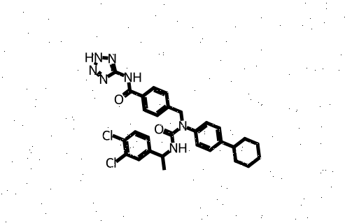 CC(NC(=O)N(Cc1ccc(C(=O)Nc2nn[nH]n2)cc1)c1ccc(C2CCCCC2)cc1)c1ccc(Cl)c(Cl)c1